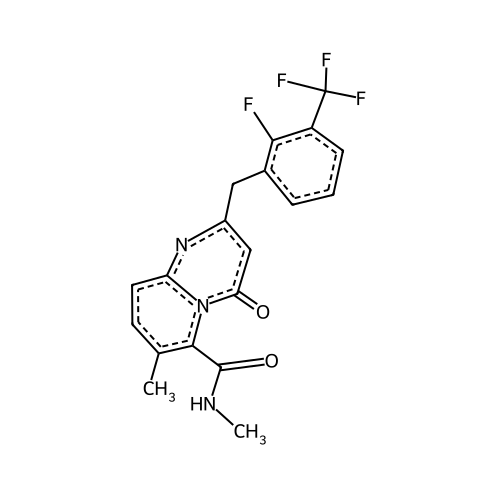 CNC(=O)c1c(C)ccc2nc(Cc3cccc(C(F)(F)F)c3F)cc(=O)n12